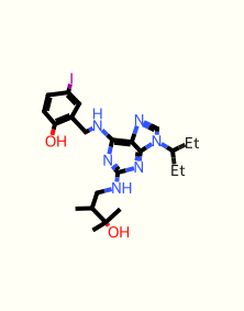 CCC(CC)n1cnc2c(NCc3cc(I)ccc3O)nc(NCC(C)C(C)(C)O)nc21